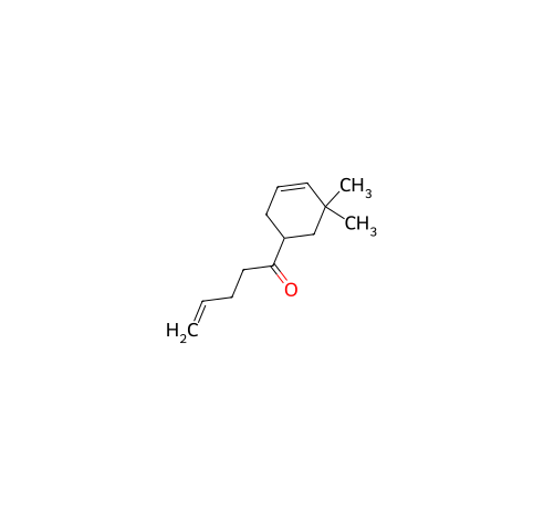 C=CCCC(=O)C1CC=CC(C)(C)C1